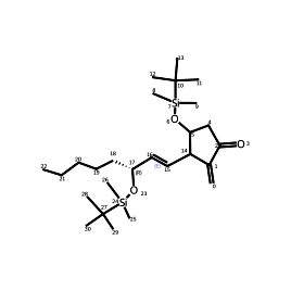 C=C1C(=O)CC(O[Si](C)(C)C(C)(C)C)C1/C=C/[C@@H](CCCCC)O[Si](C)(C)C(C)(C)C